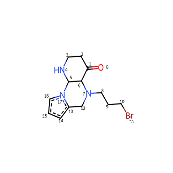 O=C1CCNC2C1N(CCCBr)Cc1cccn12